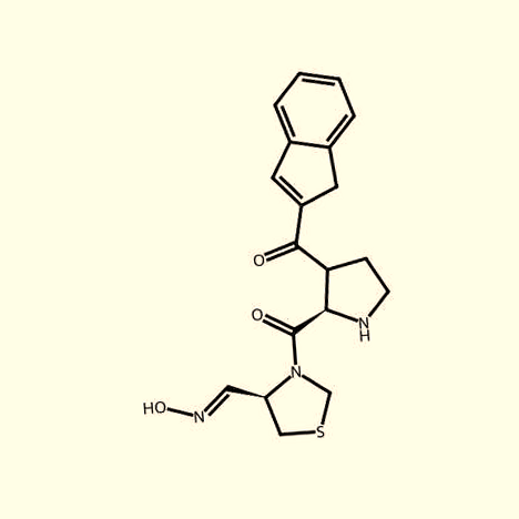 O=C(C1=Cc2ccccc2C1)C1CCN[C@H]1C(=O)N1CSC[C@H]1C=NO